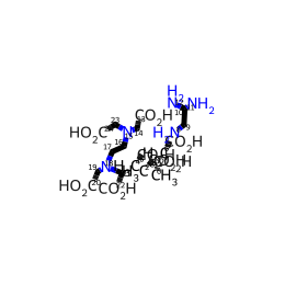 CC(=O)O.CC(=O)O.CC(=O)O.CC(=O)O.NCC(N)N.O=C(O)CN(CCN(CC(=O)O)CC(=O)O)CC(=O)O